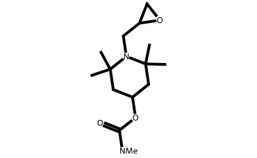 CNC(=O)OC1CC(C)(C)N(CC2CO2)C(C)(C)C1